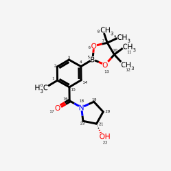 Cc1ccc(B2OC(C)(C)C(C)(C)O2)cc1C(=O)N1CC[C@H](O)C1